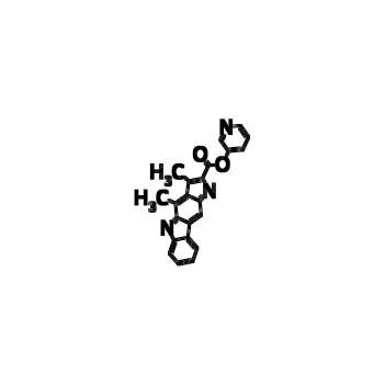 CC1=C(C(=O)Oc2cccnc2)N=c2cc3c(c(C)c21)=Nc1ccccc1-3